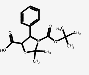 CC(C)(C)OC(=O)N1C(c2ccccc2)C(C(=O)O)OC1(C)C